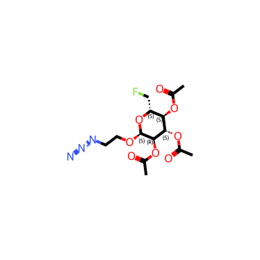 CC(=O)O[C@@H]1[C@@H](OC(C)=O)[C@@H](OCCN=[N+]=[N-])O[C@H](CF)[C@H]1OC(C)=O